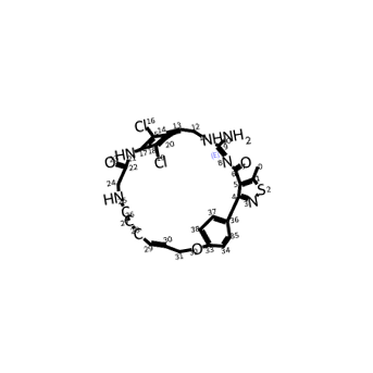 Cc1snc2c1C(=O)/N=C(\N)NCc1cc(Cl)c(c(Cl)c1)NC(=O)CNCCCC=CCOc1ccc-2cc1